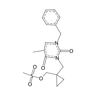 Cc1cn(Cc2ccccc2)c(=O)n(CC2(COS(C)(=O)=O)CC2)c1=O